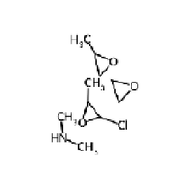 C1CO1.CC1CO1.CC1OC1Cl.CNC